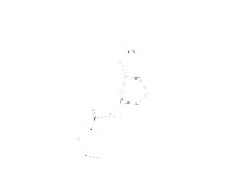 COC(=O)Nc1cccc(NC(=O)C(C)(C)CC(C)C)c1